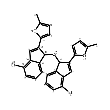 CCc1cccc2c1C=C(c1ccc(C)o1)[CH]2[Zr][CH]1C(c2ccc(C)o2)=Cc2c(CC)cccc21